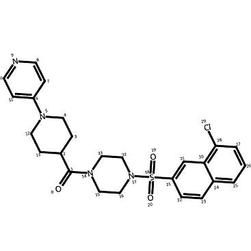 O=C(C1CCN(c2ccncc2)CC1)N1CCN(S(=O)(=O)c2ccc3cccc(Cl)c3c2)CC1